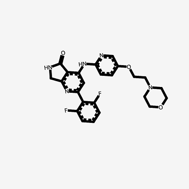 O=C1NCc2nc(-c3c(F)cccc3F)cc(Nc3ccc(OCCN4CCOCC4)cn3)c21